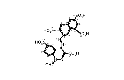 O=CN(/N=C(\CN=Nc1cc2c(S(=O)(=O)O)cc(S(=O)(=O)O)cc2cc1S(=O)(=O)O)C(=O)O)c1ccc(S(=O)(=O)O)cc1